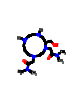 CCN1CCCN(CC(=O)N(C)C)CCN(CC(=O)N(C)C)C(CO)CN(CC)CC1